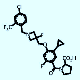 O=C(O)C1CCCN1C(=O)c1cc(C2CC2)c(OCC2(F)CN(Cc3ccc(Cl)cc3C(F)(F)F)C2)cc1F